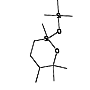 CC1CC[Si](C)(O[Si](C)(C)C)OC1(C)C